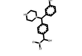 CCN(CC)C(O)c1ccc(C(c2cccc(N=O)c2)N2CCNCC2)cc1